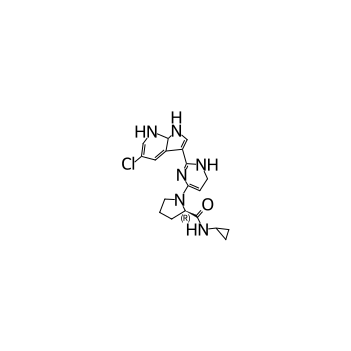 O=C(NC1CC1)[C@H]1CCCN1C1=CCNC(C2=CNC3NC=C(Cl)C=C23)=N1